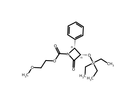 CC[Si](CC)(CC)O[C@@H]1C(=O)N(C(=O)OCCOC)[C@@H]1c1ccccc1